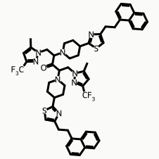 Cc1cc(C(F)(F)F)nn1CC(C(=O)C(Cn1nc(C(F)(F)F)cc1C)N1CCC(c2nc(CCc3cccc4ccccc34)cs2)CC1)N1CCC(c2nc(CCc3cccc4ccccc34)cs2)CC1